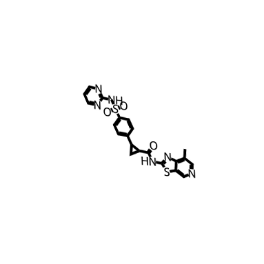 Cc1cncc2sc(NC(=O)C3CC3c3ccc(S(=O)(=O)Nc4ncccn4)cc3)nc12